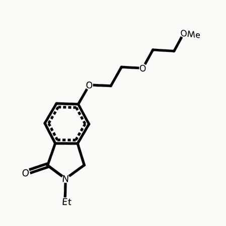 CCN1Cc2cc(OCCOCCOC)ccc2C1=O